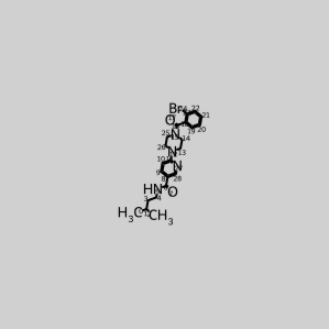 CC(C)CCNC(=O)c1ccc(N2CCN(C(=O)c3ccccc3Br)CC2)nc1